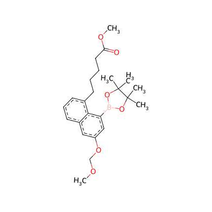 COCOc1cc(B2OC(C)(C)C(C)(C)O2)c2c(CCCCC(=O)OC)cccc2c1